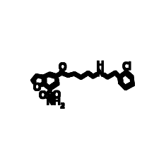 NS(=O)(=O)c1cc(C(=O)CCCCCNCCc2ccccc2Cl)cc2c1OCC2